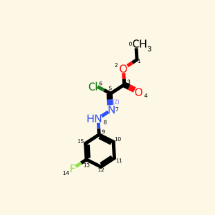 CCOC(=O)/C(Cl)=N/Nc1cccc(F)c1